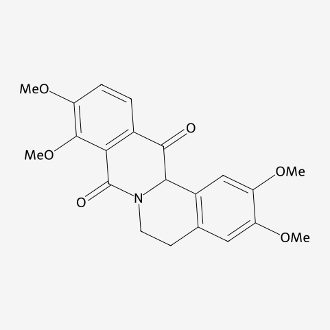 COc1cc2c(cc1OC)C1C(=O)c3ccc(OC)c(OC)c3C(=O)N1CC2